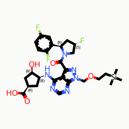 C[Si](C)(C)CCOCn1nc(C(=O)N2C[C@@H](F)C[C@@H]2c2cc(F)ccc2F)c2c(N[C@@H]3C[C@@H](C(=O)O)C[C@H]3O)ncnc21